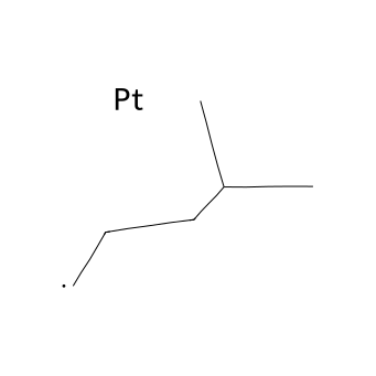 [CH2]CCC(C)C.[Pt]